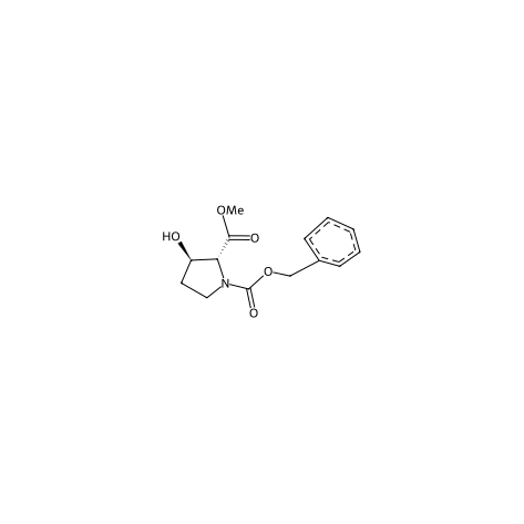 COC(=O)[C@H]1[C@H](O)CCN1C(=O)OCc1ccccc1